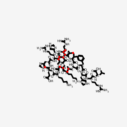 CC(C)C[C@H](NC(=O)[C@H](CCCNC(=N)N)NC(=O)[C@H](Cc1c[nH]cn1)NC(=O)[C@H](Cc1ccccc1)NC(=O)[C@H](CC(C)C)NC(=O)[C@@H](NC(=O)[C@H](CCCNC(=N)N)NC(=O)[C@H](Cc1c[nH]cn1)NC(=O)[C@H](CC(C)C)NC(=O)[C@H](CC(C)C)NC(=O)[C@H](CCCNC(=N)N)NC(=O)[C@H](Cc1c[nH]cn1)NC(=O)[C@H](CCC(=O)O)NC(=O)[C@H](CCCCN)NC(=O)[C@H](CCCCN)NC(=O)[C@@H](N)CCCCN)C(C)C)C(=O)O